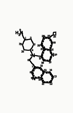 NC1CCC(N(Cc2cnc3ccccc3c2)c2ccnc3cc(Cl)ccc23)CC1